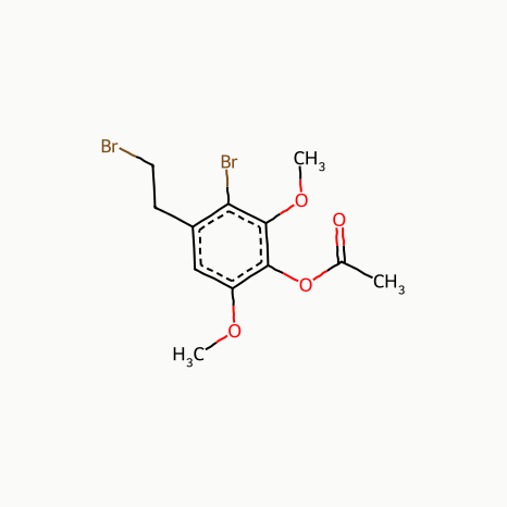 COc1cc(CCBr)c(Br)c(OC)c1OC(C)=O